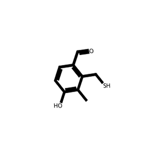 Cc1c(O)ccc(C=O)c1CS